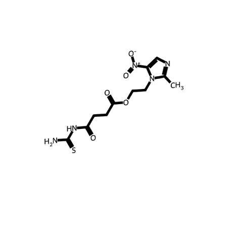 Cc1ncc([N+](=O)[O-])n1CCOC(=O)CCC(=O)NC(N)=S